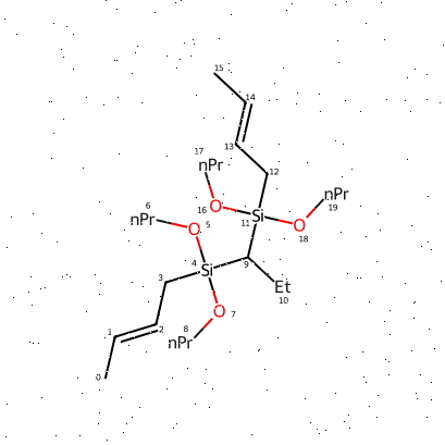 CC=CC[Si](OCCC)(OCCC)C(CC)[Si](CC=CC)(OCCC)OCCC